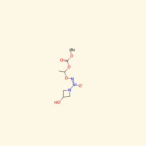 CC(O/N=[N+](/[O-])N1CC(O)C1)OC(=O)OC(C)(C)C